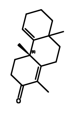 CC1=C2CCC3(C)CCCC=C3[C@@]2(C)CCC1=O